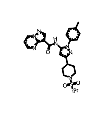 Cc1ccc(-n2nc(C3CCN(S(=O)(=O)C(C)C)CC3)cc2NC(=O)c2cnn3cccnc23)cc1